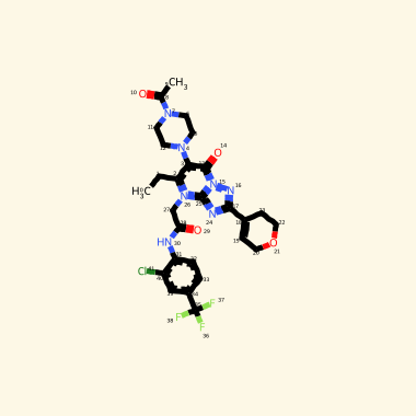 CCc1c(N2CCN(C(C)=O)CC2)c(=O)n2nc(C3=CCOCC3)nc2n1CC(=O)Nc1ccc(C(F)(F)F)cc1Cl